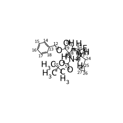 CC(C)(C)OC(=O)N1[C@H](C(=O)OCc2ccccc2)[C@@H]2CC[C@H]1[C@@H](CC1CC1)[C@@H]2F